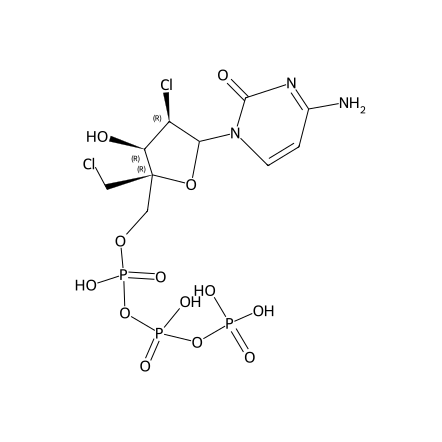 Nc1ccn(C2O[C@](CCl)(COP(=O)(O)OP(=O)(O)OP(=O)(O)O)[C@@H](O)[C@H]2Cl)c(=O)n1